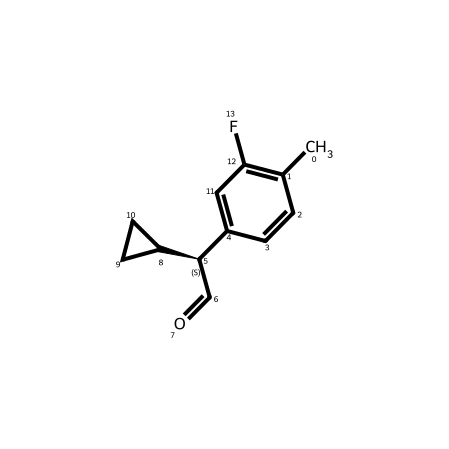 Cc1ccc([C@@H](C=O)C2CC2)cc1F